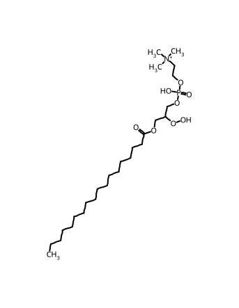 CCCCCCCCCCCCCCCCCC(=O)OCC(COP(=O)(O)OCC[N+](C)(C)C)OO